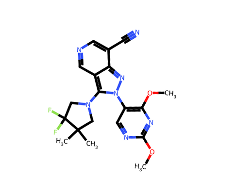 COc1ncc(-n2nc3c(C#N)cncc3c2N2CC(C)(C)C(F)(F)C2)c(OC)n1